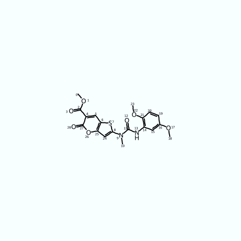 COC(=O)c1cc2sc(N(C)C(=O)Nc3cc(OC)ccc3OC)cc2oc1=O